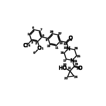 COc1c(Cl)cccc1-c1ccc(C(=O)N2CCN(C(=O)C3(O)CC3)CC2)cc1